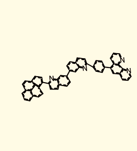 c1cnc2c(c1)cc(-c1ccc(-c3ccc4ccc(-c5ccc6ccc(-c7ccc8ccc9cccc%10ccc7c8c9%10)nc6c5)cc4n3)cc1)c1cccnc12